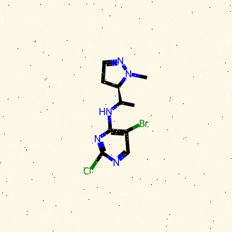 CC(Nc1nc(Cl)ncc1Br)[C@H]1CC=NN1C